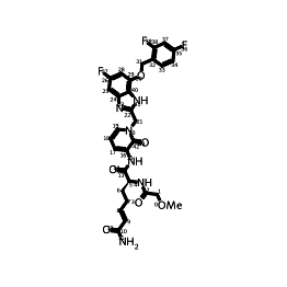 COCC(=O)N[C@@H](CC/C=C/C(N)=O)C(=O)Nc1cccn(Cc2nc3cc(F)cc(OCc4ccc(F)cc4F)c3[nH]2)c1=O